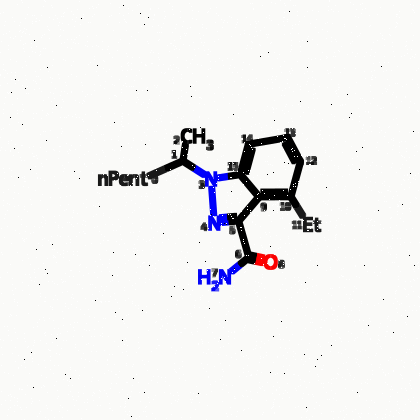 CCCCCC(C)n1nc(C(N)=O)c2c(CC)cccc21